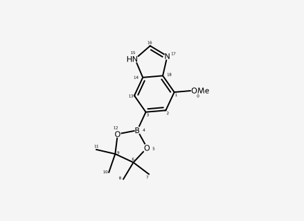 COc1cc(B2OC(C)(C)C(C)(C)O2)cc2[nH]cnc12